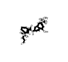 O=C(Nc1ccc2c(O)cc(S(=O)(=O)O)cc2c1)c1cccc(S(=O)(=O)CCCl)c1